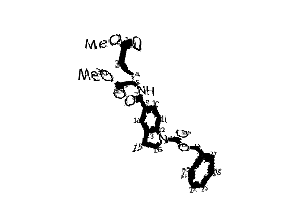 COC(=O)CC[C@H](NC(=O)c1ccc2c(c1)CCN2C(=O)OCc1ccccc1)C(=O)OC